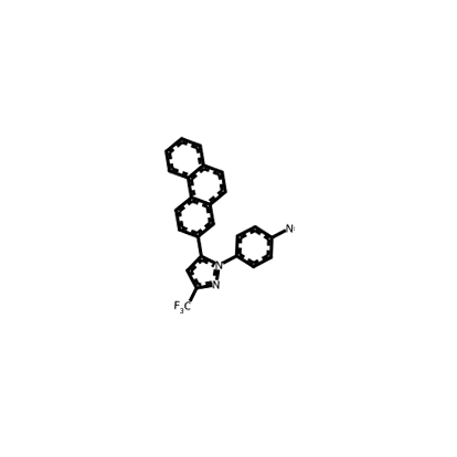 [N]c1ccc(-n2nc(C(F)(F)F)cc2-c2ccc3c(ccc4ccccc43)c2)cc1